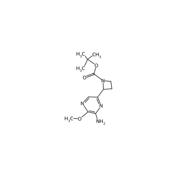 COc1ncc(C2CCN2C(=O)OC(C)(C)C)nc1N